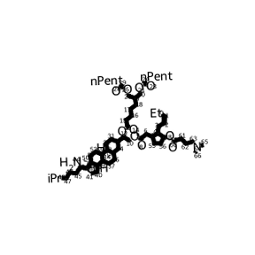 CC/C=C\CC1C(CC(=O)OCC(OC(=O)CCCCC(COC(=O)CCCCC)COC(=O)CCCCC)C2CC[C@@]3(C)C(CC[C@H]4[C@@H]5CC[C@H]([C@H](N)CCCC(C)C)[C@@]5(C)CC[C@@H]43)C2)CCC1OC(=O)CCCN(C)C